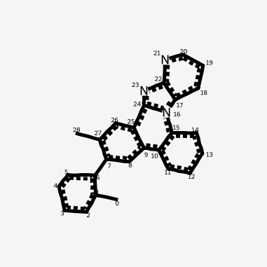 Cc1ccccc1-c1cc2c3ccccc3n3c4cccnc4nc3c2cc1C